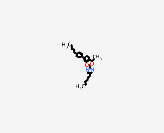 CCCCCCc1cnc(C(=O)OC(CC)c2ccc(-c3ccc(CCCCC)cc3)cc2)nc1